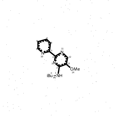 CC[C@@H](C)Nc1nc(-c2ccccn2)ncc1OC